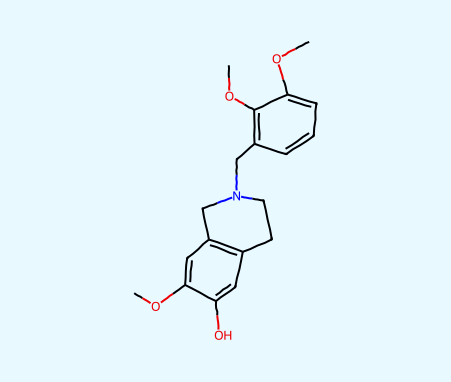 COc1cc2c(cc1O)CCN(Cc1cccc(OC)c1OC)C2